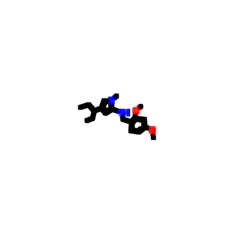 CCC(CC)c1cc(NCc2ccc(OC)cc2OC)n(C)c1